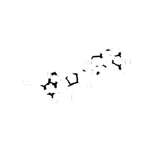 COc1nc(N)nc2c1ncn2[C@@H]1O[C@H](CO[P@@](=O)(N[C@H](C)C(=O)OC(C)C)SC[C@H]2C(=O)NC(=O)N2C)[C@@H](O)[C@@]1(C)O